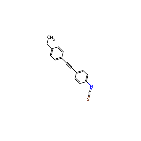 CCc1ccc(C#Cc2ccc(N=C=S)cc2)cc1